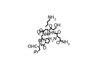 CC(C)C[C@@H]([C]=O)NC(=O)[C@@H]1CCCN1C(=O)[C@H](CO)NC(=O)[C@H](CCCCN)NC(=O)[C@@H](NC(=O)[C@@H](N)CC(N)=O)[C@@H](C)O